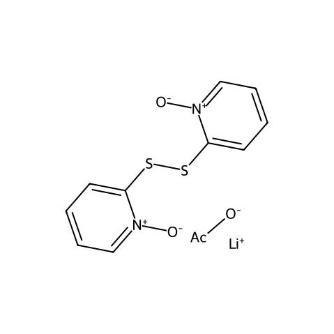 CC(=O)[O-].[Li+].[O-][n+]1ccccc1SSc1cccc[n+]1[O-]